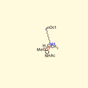 CCCCCCCC/C=C\CCCCCCCCNC(C)(C)COc1ccc(NC(C)=O)cc1OC